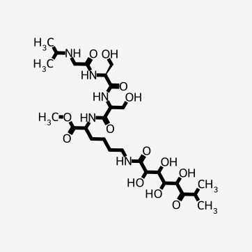 COC(=O)C(CCCCNC(=O)C(O)C(O)C(O)C(O)C(=O)C(C)C)NC(=O)C(CO)NC(=O)[C@H](CO)NC(=O)CNC(C)C